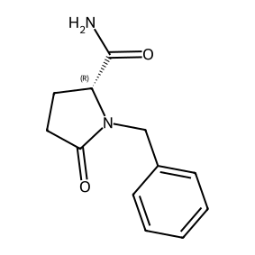 NC(=O)[C@H]1CCC(=O)N1Cc1ccccc1